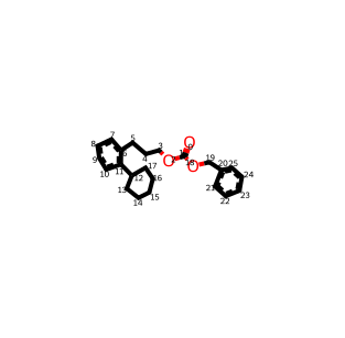 O=C(OCCCc1ccccc1C1CCCCC1)OCc1ccccc1